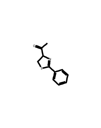 CC(=O)C1CSC(c2ccccc2)=N1